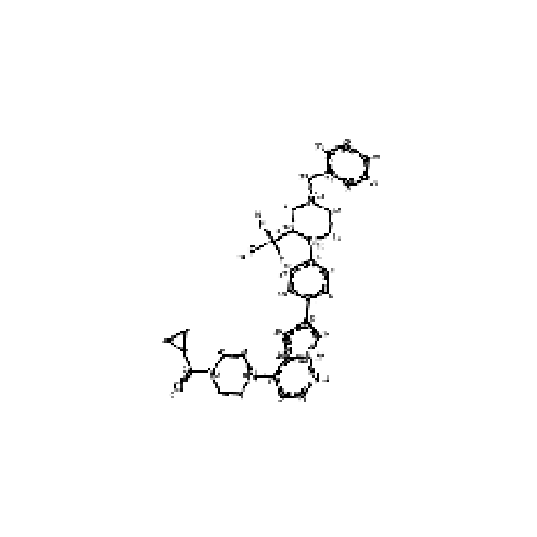 O=C(C1CC1)N1CCN(c2ccnn3cc(-c4ccc(N5CCN(Cc6ccccc6)CC5C(F)(F)F)cc4)cc23)CC1